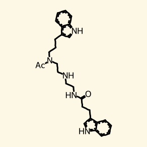 CC(=O)N(CCCc1c[nH]c2ccccc12)CCNCCNC(=O)CCc1c[nH]c2ccccc12